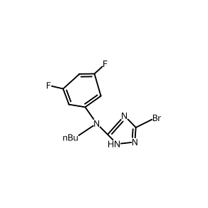 CCCCN(c1cc(F)cc(F)c1)c1nc(Br)n[nH]1